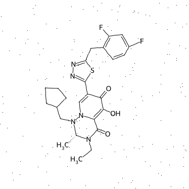 CCN1C(=O)c2c(O)c(=O)c(-c3nnc(Cc4ccc(F)cc4F)s3)cn2N(CC2CCCC2)[C@H]1C